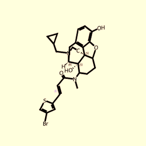 CN(C(=O)/C=C/c1cc(Br)cs1)C1CCC2Oc3c(O)ccc4c3[C@@]23CCN(CC2CC2)[C@H](C4)[C@]13O